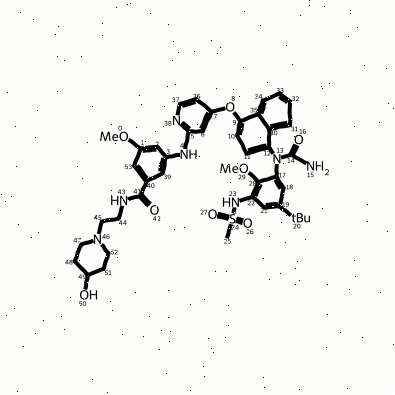 COc1cc(Nc2cc(Oc3ccc(N(C(N)=O)c4cc(C(C)(C)C)cc(NS(C)(=O)=O)c4OC)c4ccccc34)ccn2)cc(C(=O)NCCN2CCC(O)CC2)c1